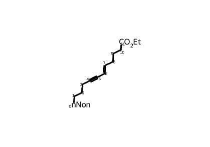 CCCCCCCCCCCCC#CC=CCCCC(=O)OCC